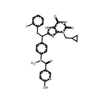 CN(C(=O)c1ccc(O)nc1)c1ccc(C(Cc2ccccc2F)c2nc3c([nH]2)c(=O)[nH]c(=O)n3CC2CC2)cc1